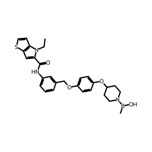 CCn1c(C(=O)Nc2cccc(COc3ccc(OC4CCN(B(C)O)CC4)cc3)c2)cc2sccc21